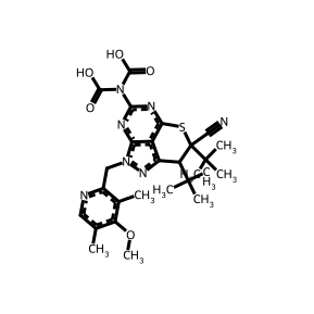 COc1c(C)cnc(Cn2nc3c4c(nc(N(C(=O)O)C(=O)O)nc42)SC(C#N)(C(C)(C)C)C3C(C)(C)C)c1C